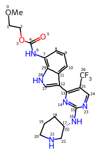 COCCOC(=O)Nc1cccc2c(-c3nc(N[C@H]4CCCNC4)ncc3C(F)(F)F)c[nH]c12